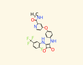 CNC(=O)c1cc(Oc2ccc(Nc3c(Nc4cc(C(F)(F)F)ccc4F)c(=O)c3=O)cc2)ccn1